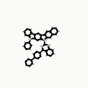 c1ccc(-c2ccc(-c3nc(-n4c5cc6ccccc6cc5c5cc6c7ccccc7n(-c7ccccc7)c6cc54)nc4ccccc34)cc2)cc1